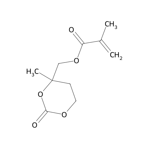 C=C(C)C(=O)OCC1(C)CCOC(=O)O1